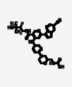 CC(C)(O)C(F)CNC(=O)c1cnc(-c2ccc3cc(C#N)cnn23)cc1Nc1ccc(N2CCOC(CNC(=O)O)C2)nc1